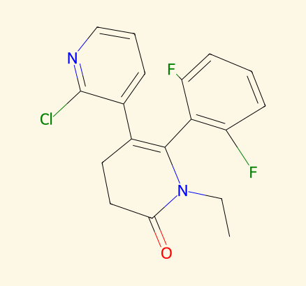 CCN1C(=O)CCC(c2cccnc2Cl)=C1c1c(F)cccc1F